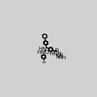 CSc1ccc(NC(=O)NC(c2ccc(C(=O)Nc3nn[nH]n3)cc2)c2ccc(C3CCCCC3)cc2)cc1